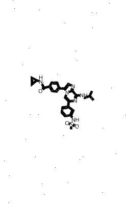 CC(C)CNc1nc(-c2cccc(NS(C)(=O)=O)c2)cn2c(-c3ccc(C(=O)NC4CC4)cc3)cnc12